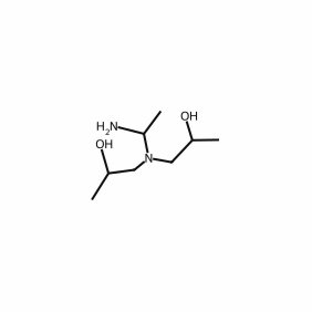 CC(O)CN(CC(C)O)C(C)N